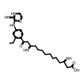 CCc1cc(Nc2ncc[nH]c2=N)ccc1C(=O)CC(=N)CCCCCCCCC(=N)CC(=O)O